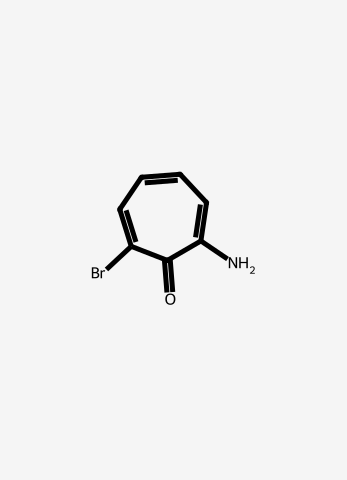 Nc1ccccc(Br)c1=O